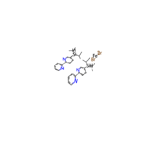 CC(C)[SiH](c1ccc(-c2ccccn2)nc1)C(C)C.CC(C)[SiH](c1ccc(-c2ccccn2)nc1)C(C)C.[Br][Fe][Br]